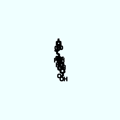 C=C(CCC1O[C@H]2C[C@H]3[C@@H]4CCC5CC(CC(=O)O)CC[C@]5(C)[C@H]4CC[C@]3(C)[C@H]2[C@@H]1C)CS(=O)(=O)c1ccc(C)cc1